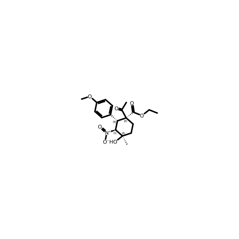 CCOC(=O)[C@]1(C(C)=O)CC[C@@](C)(O)[C@@H]([N+](=O)[O-])[C@@H]1c1ccc(OC)cc1